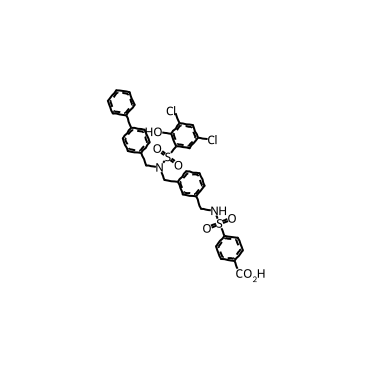 O=C(O)c1ccc(S(=O)(=O)NCc2cccc(CN(Cc3ccc(-c4ccccc4)cc3)S(=O)(=O)c3cc(Cl)cc(Cl)c3O)c2)cc1